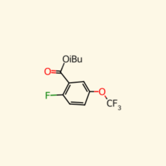 CC(C)COC(=O)c1cc(OC(F)(F)F)ccc1F